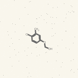 Cc1cc(OCO)ccc1Cl